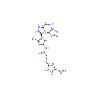 CC[C@@H]1C[C@H](NC(=O)CCc2cc(OC)no2)C[C@@H]1c1nnc2cnc3[nH]ccc3n12